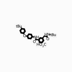 CC(C)(C)NC(=O)Cc1ccc(C(=O)O)c(C(=O)Nc2ccc(Oc3ccc(C(C)(C)C)cc3)cc2)c1